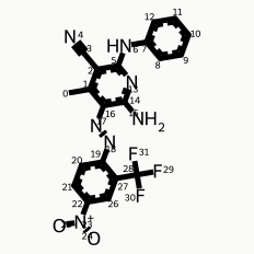 Cc1c(C#N)c(Nc2ccccc2)nc(N)c1/N=N/c1ccc([N+](=O)[O-])cc1C(F)(F)F